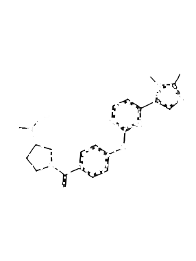 CCn1c(-c2ccnc(Nc3ccc(C(=O)N4CC[C@H](N(C)C)C4)cc3)n2)cnc1C(F)(F)F